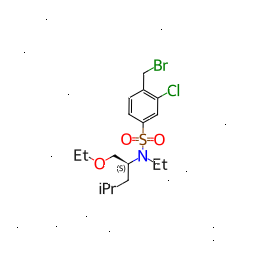 CCOC[C@H](CC(C)C)N(CC)S(=O)(=O)c1ccc(CBr)c(Cl)c1